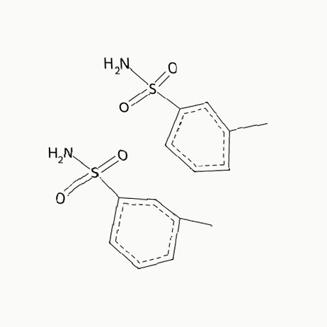 Cc1cccc(S(N)(=O)=O)c1.Cc1cccc(S(N)(=O)=O)c1